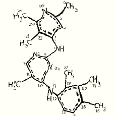 Cc1cc(Nc2ncc(C)c(Nc3ccc(C)c(C)c3C)n2)c(C)c(C)n1